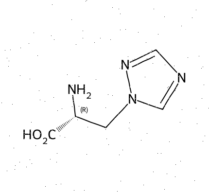 N[C@H](Cn1cncn1)C(=O)O